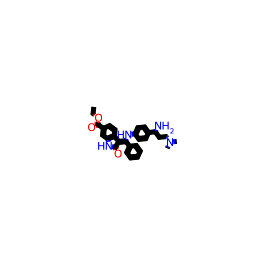 CCOC(=O)c1ccc2c(c1)NC(=O)C2=C(Nc1ccc(C(N)CCN(C)C)cc1)c1ccccc1